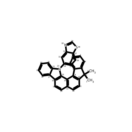 CC1(C)c2ccccc2-c2c1ccc1ccc3c4ccccc4n(-c4ccc5scnc5c4)c3c21